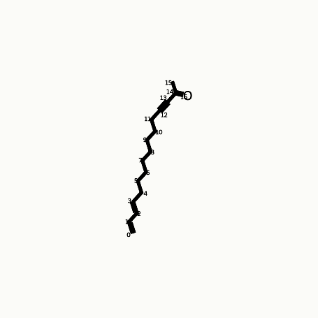 C=CC=CCCCCCCCCC#CC(C)=O